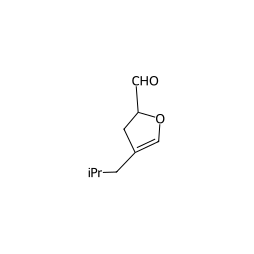 CC(C)CC1=COC(C=O)C1